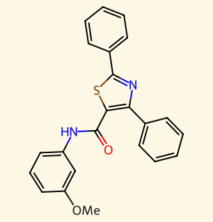 COc1cccc(NC(=O)c2sc(-c3ccccc3)nc2-c2ccccc2)c1